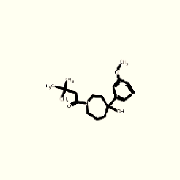 COc1cccc(C2(O)CCCN(C(=O)CC(C)(C)C)CC2)c1